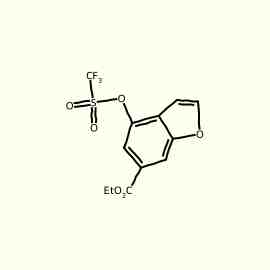 CCOC(=O)c1cc(OS(=O)(=O)C(F)(F)F)c2ccoc2c1